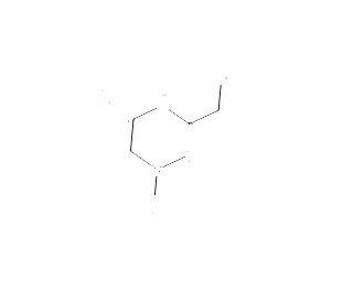 C[C@@H](O)[C@@H]1CN(C)C[C@H](N)O1